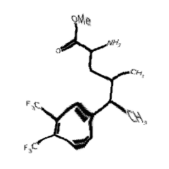 COC(=O)C(N)CC(C)C(C)c1ccc(C(F)(F)F)c(C(F)(F)F)c1